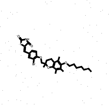 CCCCCCCOc1c(C)c(C)c2c(c1C)CCC(C)(COc1ccc(C=C3SC(=O)NC3=O)cc1Br)O2